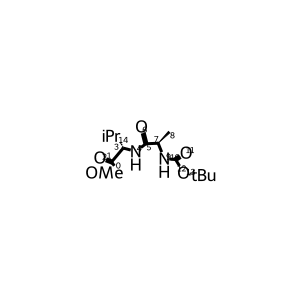 COC(=O)[C@@H](NC(=O)[C@@H](C)NC(=O)OC(C)(C)C)C(C)C